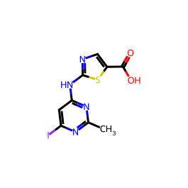 Cc1nc(I)cc(Nc2ncc(C(=O)O)s2)n1